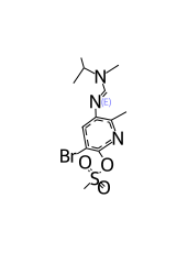 Cc1nc(OS(C)(=O)=O)c(Br)cc1/N=C/N(C)C(C)C